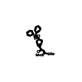 CSC(=CC(=O)C1C2CC(O[Si](c3ccccc3)(c3ccccc3)C(C)(C)C)CC21)SC